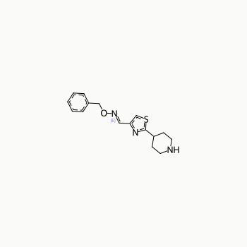 C(=N\OCc1ccccc1)/c1csc(C2CCNCC2)n1